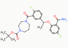 CC(Oc1ccc(F)cc1C(N)=O)c1ccc(F)c(C(=O)N2CCCN(C(=O)OC(C)(C)C)CC2)c1